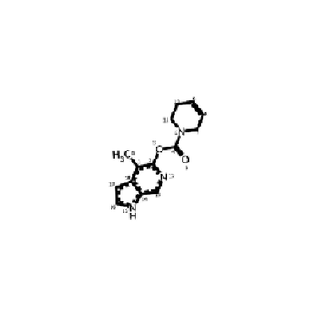 Cc1c(OC(=O)N2CC=CCC2)ncc2[nH]ccc12